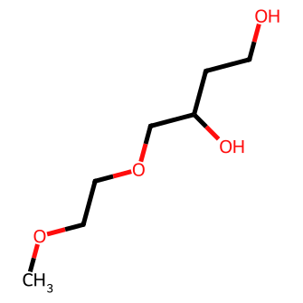 COCCOCC(O)CCO